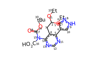 CCOC(Cc1c(-c2cn[nH]c2)ncnc1N(C(=O)O)C(=O)OC(C)(C)C)OCC